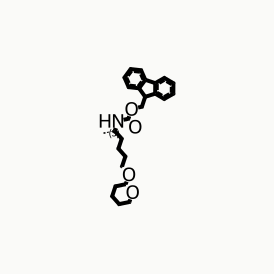 C[C@@H](CCCCOC1CCCCO1)NC(=O)OCC1c2ccccc2-c2ccccc21